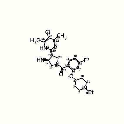 CCN1CCC(Oc2cc(F)ccc2C(=O)N2CC(=N)/C(=C3/N=C(C)C(Cl)=C(C)N3)C2)CC1